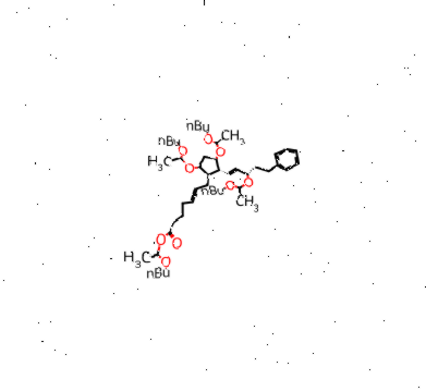 CCCCOC(C)OC(=O)CCC/C=C/C[C@@H]1[C@@H](/C=C/[C@H](CCc2ccccc2)OC(C)OCCCC)[C@H](OC(C)OCCCC)C[C@@H]1OC(C)OCCCC